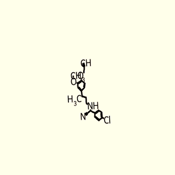 C#CCOc1ccc(C(C)CCNC(C#N)c2ccc(Cl)cc2)cc1OC